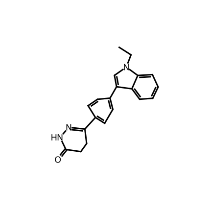 CCn1cc(-c2ccc(C3=NNC(=O)CC3)cc2)c2ccccc21